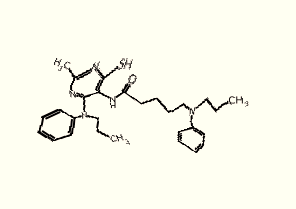 CCCN(CCCCC(=O)Nc1c(S)nc(C)nc1N(CCC)c1ccccc1)c1ccccc1